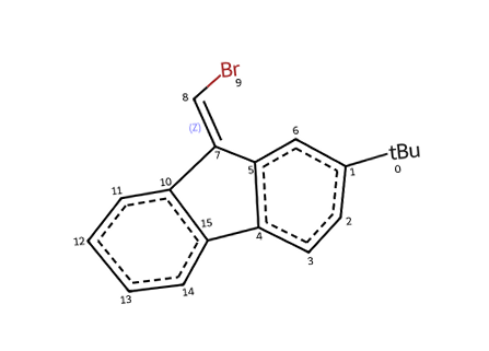 CC(C)(C)c1ccc2c(c1)/C(=C\Br)c1ccccc1-2